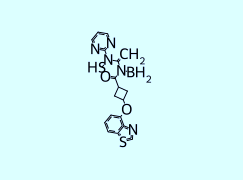 BN(C(=C)N(S)c1ncccn1)C(=O)C1CC(Oc2cccc3scnc23)C1